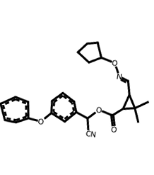 CC1(C)C(C=NOC2CCCC2)C1C(=O)OC(C#N)c1cccc(Oc2ccccc2)c1